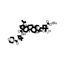 C=C(C)[C@@H]1CC[C@]2(C(=O)N[C@H]3C[C@@H](C(=O)N4CCOCC4)C3(C)C)CC[C@]3(C)[C@H](CC[C@@H]4[C@]5(C)CC[C@H]([C@]6(C(=O)O)C[C@H](C(=O)OC(C)(C)C)C6(C)C)C(C)(C)[C@H]5CC[C@]43C)[C@@H]12